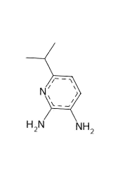 CC(C)c1ccc(N)c(N)n1